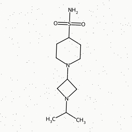 CC(C)N1CC(N2CCC(S(N)(=O)=O)CC2)C1